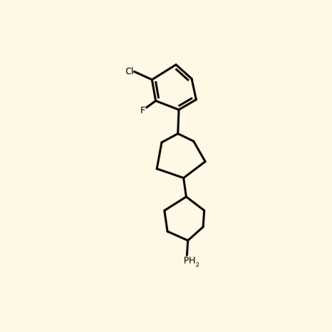 Fc1c(Cl)cccc1C1CCC(C2CCC(P)CC2)CC1